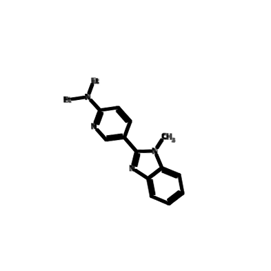 CCN(CC)c1ccc(-c2nc3ccccc3n2C)cn1